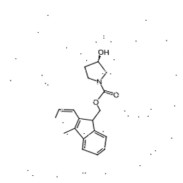 C/C=C\C1=C(C)c2ccccc2C1COC(=O)N1CC[C@@H](O)C1